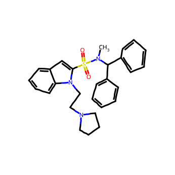 CN(C(c1ccccc1)c1ccccc1)S(=O)(=O)c1cc2ccccc2n1CCN1CCCC1